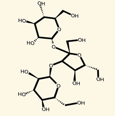 OC[C@H]1O[C@H](O[C@]2(CO)O[C@H](CO)[C@@H](O)C2O[C@H]2O[C@H](CO)[C@@H](O)[C@H](O)[C@H]2O)[C@H](O)[C@@H](O)[C@@H]1O